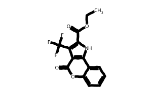 CCOC(=O)c1[nH]c2c(c1C(F)(F)F)c(=O)oc1ccccc12